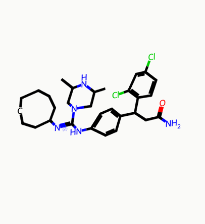 CC1CN(/C(=N\C2CCCCCCC2)Nc2ccc(C(CC(N)=O)c3ccc(Cl)cc3Cl)cc2)CC(C)N1